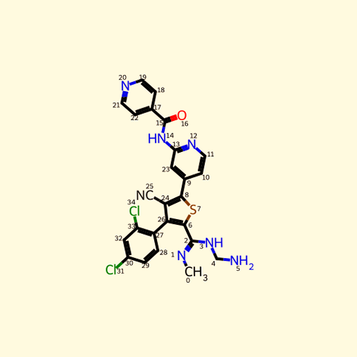 C/N=C(\NCN)c1sc(-c2ccnc(NC(=O)c3ccncc3)c2)c(C#N)c1-c1ccc(Cl)cc1Cl